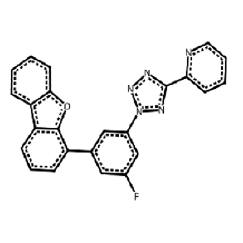 Fc1cc(-c2cccc3c2oc2ccccc23)cc(-n2nnc(-c3ccccn3)n2)c1